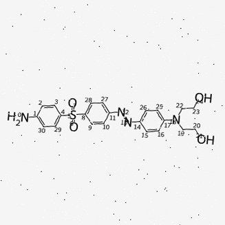 Nc1ccc(S(=O)(=O)c2ccc(N=Nc3ccc(N(CCO)CCO)cc3)cc2)cc1